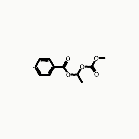 COC(=O)OC(C)OC(=O)c1cc[c]cc1